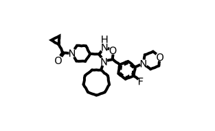 O=C(C1CC1)N1CCC(C2NOC(c3ccc(F)c(N4CCOCC4)c3)N2C2CCCCCCCC2)CC1